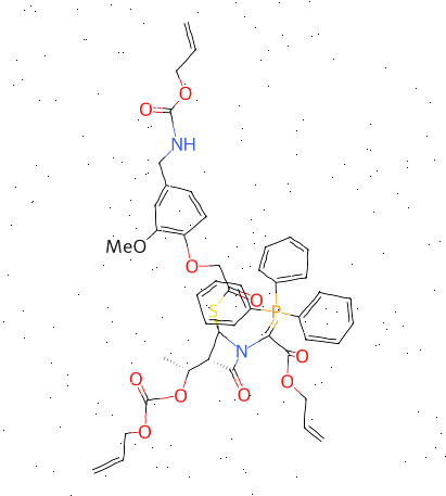 C=CCOC(=O)NCc1ccc(OCC(=O)S[C@@H]2[C@@H]([C@@H](C)OC(=O)OCC=C)C(=O)N2C(C(=O)OCC=C)=P(c2ccccc2)(c2ccccc2)c2ccccc2)c(OC)c1